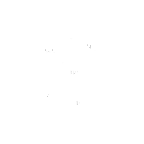 CNC(CC(=O)OC(C)(C)C)(NC)C(=O)CN